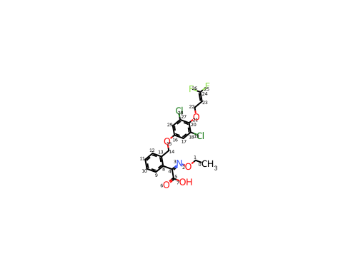 CCON=C(C(=O)O)c1ccccc1COc1cc(Cl)c(OCC=C(F)F)c(Cl)c1